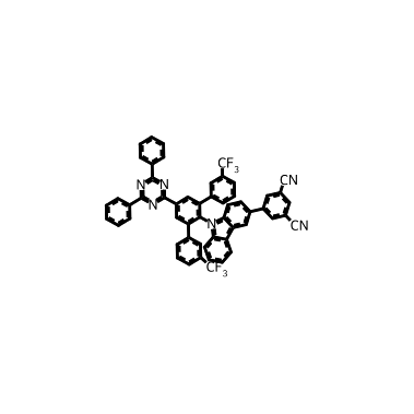 N#Cc1cc(C#N)cc(-c2ccc3c(c2)c2ccccc2n3-c2c(-c3cccc(C(F)(F)F)c3)cc(-c3nc(-c4ccccc4)nc(-c4ccccc4)n3)cc2-c2cccc(C(F)(F)F)c2)c1